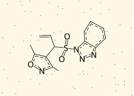 C=CC(c1c(C)noc1C)S(=O)(=O)n1nnc2ccccc21